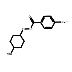 CCCCCc1ccc(C(=O)OO[C]2CCC(C(C)(C)C)CC2)cc1